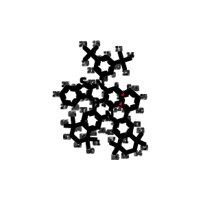 Cc1cc2c3c(c1)N(c1cc(C(C)(C)C)cc(C(C)(C)C)c1)c1sc4ccccc4c1B3c1cc3c(cc1N2c1cc2c(cc1-c1ccccc1)C(C)(C)CCC2(C)C)C(C)(C)CCC3(C)C